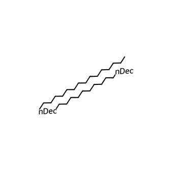 CCCCCCCCCCCCCCCC.CCCCCCCCCCCCCCCCCCCCCCCCCCCCCC